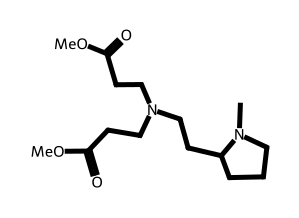 COC(=O)CCN(CCC(=O)OC)CCC1CCCN1C